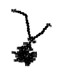 CCCCCCCC/C=C\CCCCCCCCCCCCCCCC(=O)N[C@@H](CO[C@@H]1OC(CO)[C@@H](O[C@@H]2OC(CO)[C@H](O[C@@H]3OC(CO)[C@H](O)[C@H](O[C@@H]4OC(CO)[C@H](O)[C@H](O[C@@H]5OC(CO)[C@H](O)[C@H](O[C@H]6OC(CO)[C@H](O)[C@H](O)C6NC(C)=O)C5O[C@H]5OC(C)[C@@H](O)C(O)[C@@H]5O)C4NC(C)=O)C3O)[C@H](O)C2O)[C@H](O)C1O)[C@H](O)/C=C/CCCCCCCCCCCCC